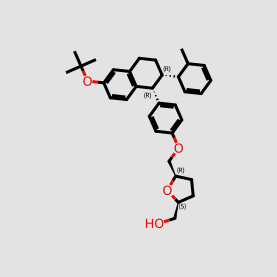 CC1C=CC=CC1[C@H]1CCc2cc(OC(C)(C)C)ccc2[C@H]1c1ccc(OC[C@H]2CC[C@@H](CO)O2)cc1